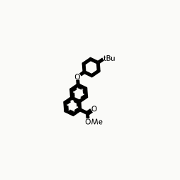 COC(=O)c1cccc2cc(OC3CCC(C(C)(C)C)CC3)ccc12